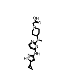 CN(c1nccc(Nc2cc(C3CC3)[nH]n2)n1)C1CCN(CC(=O)O)CC1